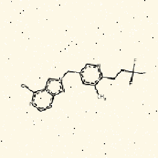 Cc1cc(Cn2cc3c(Cl)nccc3n2)cnc1CCC(F)(F)F